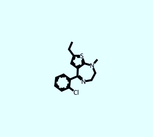 CCc1cc2c(s1)N(C)CCN=C2c1ccccc1Cl